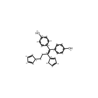 Oc1ccc(C(=C(CCC2C=CC=C2)C2=CC=CC2)c2ccc(O)cc2)cc1